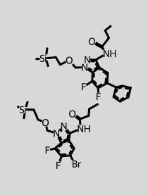 CCCC(=O)Nc1nn(COCC[Si](C)(C)C)c2c(F)c(F)c(-c3ccccc3)cc12.CCCC(=O)Nc1nn(COCC[Si](C)(C)C)c2c(F)c(F)c(Br)cc12